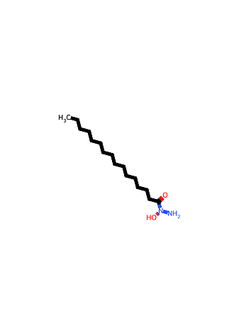 CCCCCCCCCCCCCCCC(=O)N(N)O